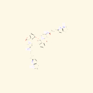 COc1ccccc1[C@@H](C(=O)Oc1cccc([C@@H](C(=O)O)N2CC[C@@H](NCCCCc3ccc4c(n3)NCCC4)C2)c1)N1CCC(NC(=O)CCCc2ccc3c(n2)NCCC3)CC1